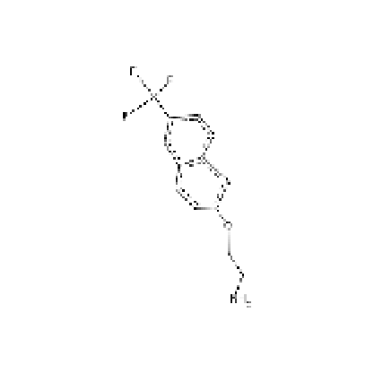 NCCOc1ccc2cc(C(F)(F)F)ccc2n1